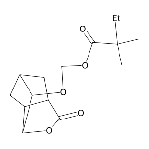 CCC(C)(C)C(=O)OCOC1C2CC3C(=O)OC1C3C2